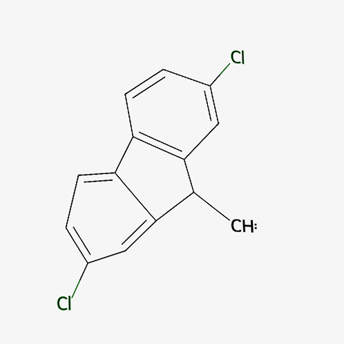 [CH]C1c2cc(Cl)ccc2-c2ccc(Cl)cc21